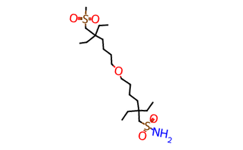 CCC(CC)(CCCCOCCCCC(CC)(CC)CS(N)(=O)=O)CS(C)(=O)=O